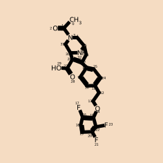 CC(=O)N1CC2CC(c3ccc(CCOc4c(F)ccc(F)c4F)cc3)=C(C(=O)O)C(C1)N2